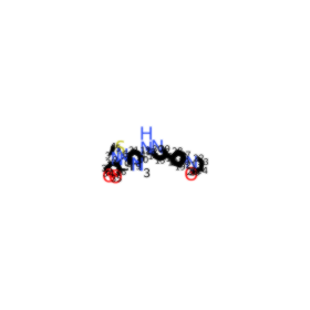 CC1(N2CCSN2c2cncc(Nc3ccc(-c4ccc(N5CCCC5=O)cc4)cn3)c2)CCOOC1